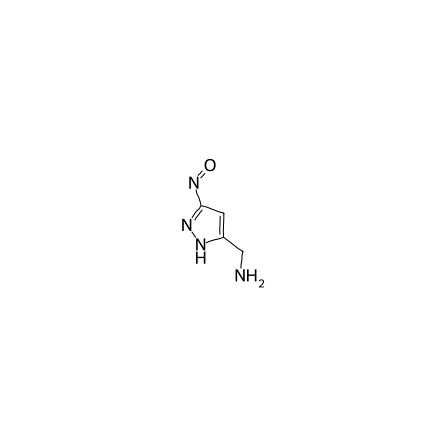 NCc1cc(N=O)n[nH]1